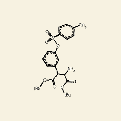 Cc1ccc(S(=O)(=O)Oc2cccc(C(C(=O)OC(C)(C)C)C(N)C(=O)OC(C)(C)C)c2)cc1